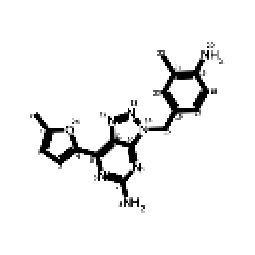 Cc1ccc(-c2nc(N)nc3c2nnn3Cc2ccc(N)c(C)c2)o1